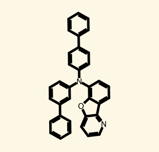 c1ccc(-c2ccc(N(c3cccc(-c4ccccc4)c3)c3cccc4c3oc3cccnc34)cc2)cc1